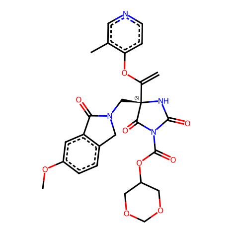 C=C(Oc1ccncc1C)[C@]1(CN2Cc3ccc(OC)cc3C2=O)NC(=O)N(C(=O)OC2COCOC2)C1=O